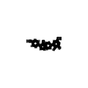 N#Cc1cc(F)c(F)c(N2CCC3(CC2)CCN([C@H]2CC[C@@H](O)CC2)C3=O)c1